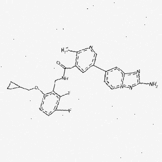 Cc1ncc(-c2ccn3nc(N)nc3c2)cc1C(=O)NCc1c(OCC2CC2)ccc(F)c1F